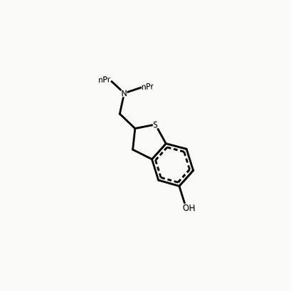 CCCN(CCC)CC1Cc2cc(O)ccc2S1